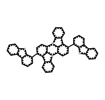 c1ccc2c(c1)oc1c(-c3ccc4c5c3c3ccccc3n5c3ccc(-c5cccc6c5sc5ccccc56)c5c6ccccc6n4c53)cccc12